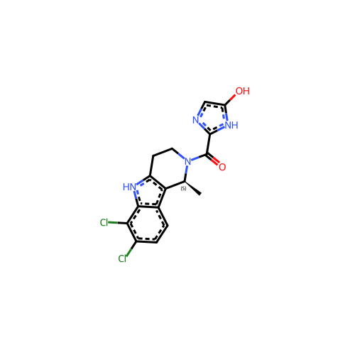 C[C@H]1c2c([nH]c3c(Cl)c(Cl)ccc23)CCN1C(=O)c1ncc(O)[nH]1